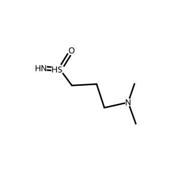 CN(C)CCC[SH](=N)=O